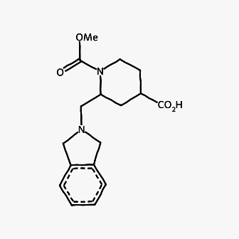 COC(=O)N1CCC(C(=O)O)CC1CN1Cc2ccccc2C1